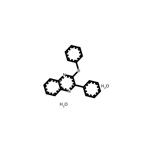 O.O.[B](c1ccccc1)c1nc2ccccc2nc1-c1ccccc1